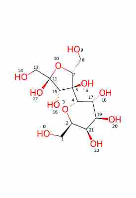 OC[C@H]1O[C@H]([C@@]2(O)[C@@H](CO)O[C@@](O)(CO)[C@H]2O)[C@H](O)[C@@H](O)[C@H]1O